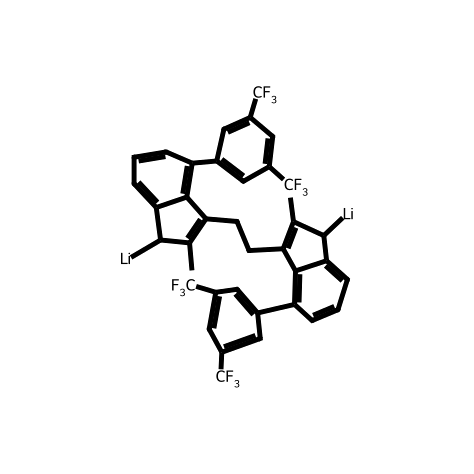 [Li][CH]1C(C)=C(CCC2=C(C)[CH]([Li])c3cccc(-c4cc(C(F)(F)F)cc(C(F)(F)F)c4)c32)c2c(-c3cc(C(F)(F)F)cc(C(F)(F)F)c3)cccc21